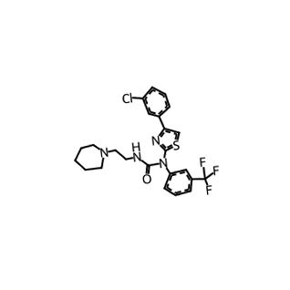 O=C(NCCN1CCCCC1)N(c1cccc(C(F)(F)F)c1)c1nc(-c2cccc(Cl)c2)cs1